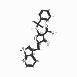 CC(C)(NC1=C(C(=O)O)C(=O)C(=Cc2c[nH]c3ncccc23)O1)c1ccccc1